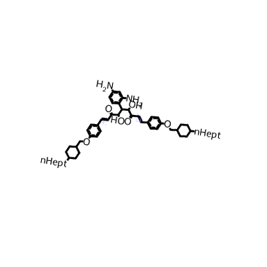 CCCCCCCC1CCC(COc2ccc(/C=C/C(=O)C(O)C(c3ccc(N)cc3N)C(O)C(=O)/C=C/c3ccc(OCC4CCC(CCCCCCC)CC4)cc3)cc2)CC1